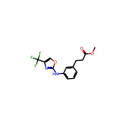 COC(=O)CCc1cccc(Nc2nc(C(F)(F)F)co2)c1